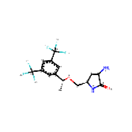 C[C@@H](OC[C@H]1CC(N)C(=O)N1)c1cc(C(F)(F)F)cc(C(F)(F)F)c1